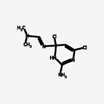 CN(C)/C=N/C1(Cl)C=C(Cl)N=C(N)N1